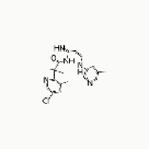 Cc1cncc(N/C=C\C(=N)NC(=O)C(C)(C)c2ncc(Cl)cc2C)c1